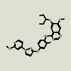 CCC(CC)Oc1cc2c(Nc3ccc(Oc4ccn(-c5ccnc(OC)c5)n4)cc3F)ncnc2cc1OC